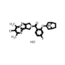 Cc1nc2c3c(nn2c(C)c1Cl)CN(C(=O)c1ccc(F)cc1OC1CC2CCC(C1)N2)C3.Cl